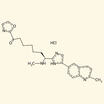 CN[C@@H](CCCCCC(=O)c1ncco1)c1ncc(-c2ccc3nc(C)ccc3c2)[nH]1.Cl